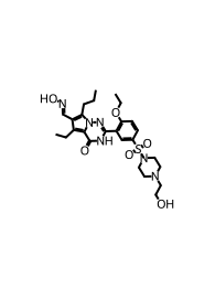 CCCc1c(C=NO)c(CC)c2c(=O)[nH]c(-c3cc(S(=O)(=O)N4CCN(CCO)CC4)ccc3OCC)nn12